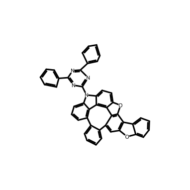 c1ccc(-c2nc(-c3ccccc3)nc(-n3c4cccc5c6ccccc6c6cc7oc8ccccc8c7c7oc8ccc3c(c8c67)c54)n2)cc1